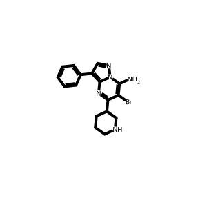 Nc1c(Br)c(C2CCCNC2)nc2c(-c3ccccc3)cnn12